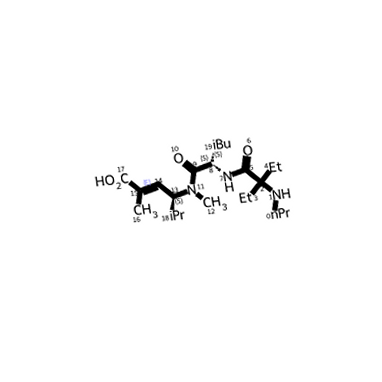 CCCNC(CC)(CC)C(=O)N[C@H](C(=O)N(C)[C@H](/C=C(\C)C(=O)O)C(C)C)[C@@H](C)CC